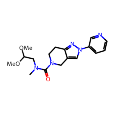 COC(CN(C)C(=O)N1CCc2nn(-c3cccnc3)cc2C1)OC